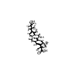 Cc1nc(NC(C)c2cccc(C(F)(F)C(C)(C)O)c2F)c2cc([N+](=O)[O-])c(C(C)(C)C(=O)O)cc2n1